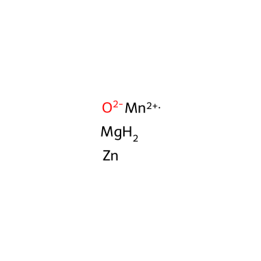 [MgH2].[Mn+2].[O-2].[Zn]